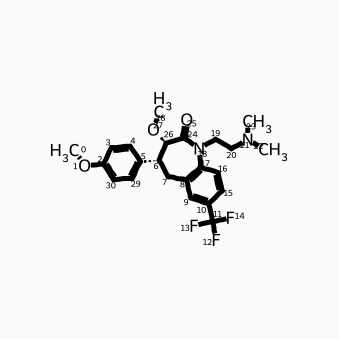 COc1ccc([C@H]2Cc3cc(C(F)(F)F)ccc3N(CCN(C)C)C(=O)[C@H]2OC)cc1